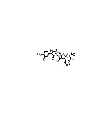 CC(=O)OC(C)n1nnnc1C1N2C(=O)C(N3C(=O)C(c4ccc(O)c(Cl)c4)NC3(C)C)[C@H]2SC1(C)C